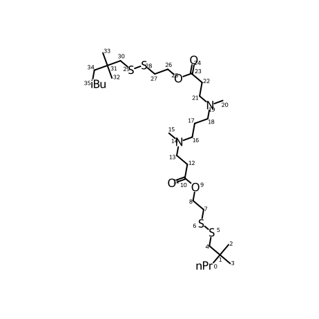 CCCC(C)(C)CSSCCOC(=O)CCN(C)CCCN(C)CCC(=O)OCCSSCC(C)(C)CC(C)CC